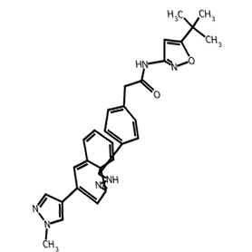 Cn1cc(C2=CC3=NNC(c4ccc(CC(=O)Nc5cc(C(C)(C)C)on5)cc4)C34C=CC=CC4=C2)cn1